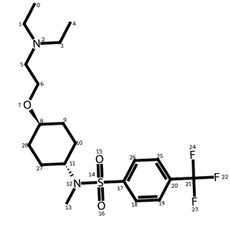 CCN(CC)CCO[C@H]1CC[C@H](N(C)S(=O)(=O)c2ccc(C(F)(F)F)cc2)CC1